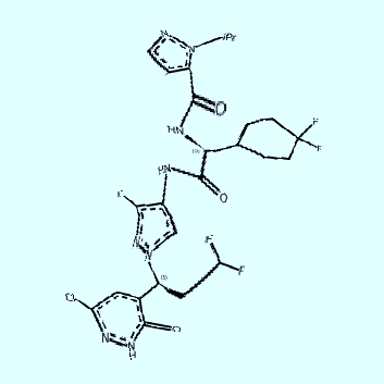 CC(C)n1nccc1C(=O)N[C@H](C(=O)Nc1cn([C@@H](CC(F)F)c2cc(Cl)n[nH]c2=O)nc1F)C1CCC(F)(F)CC1